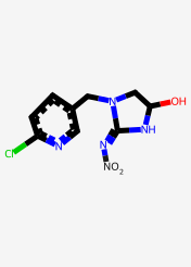 O=[N+]([O-])/N=C1\NC(O)CN1Cc1ccc(Cl)nc1